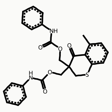 Cc1cccc2c1C(=O)C(COC(=O)Nc1ccccc1)(COC(=O)Nc1ccccc1)CS2